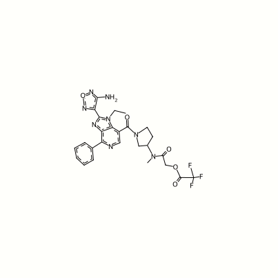 CCn1c(-c2nonc2N)nc2c(-c3ccccc3)ncc(C(=O)N3CCC(N(C)C(=O)COC(=O)C(F)(F)F)C3)c21